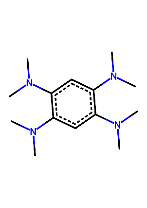 CN(C)c1cc(N(C)C)c(N(C)C)cc1N(C)C